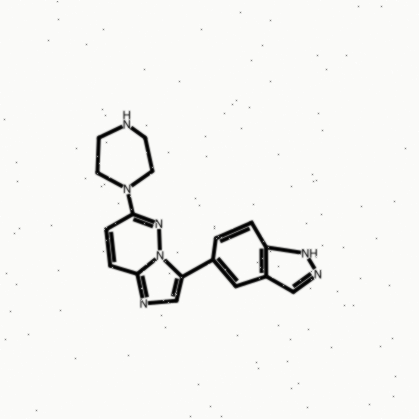 c1cc2[nH]ncc2cc1-c1cnc2ccc(N3CCNCC3)nn12